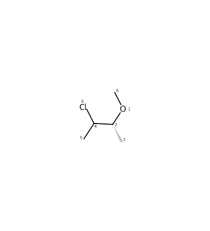 CO[C@H](C)C(C)Cl